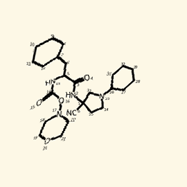 N#CC1(NC(=O)C(CC2CCCCC2)NC(=O)ON2CCOCC2)CCN(C2CCCCC2)C1